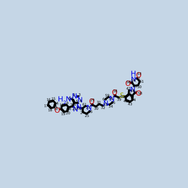 Nc1ncnc2c1c(-c1ccc(Oc3ccccc3)cc1)nn2C1CCCN(C(=O)CCCN2CCN(C(=O)CSc3cccc4c3CN(C3CCC(=O)NC3=O)C4=O)CC2)C1